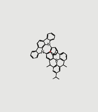 CC(C)c1cc(C(C)C)c(B2c3ccccc3Oc3cc(-n4c5ccccc5c5ccc6c7ccccc7n(-c7ccccc7)c6c54)ccc32)c(C(C)C)c1